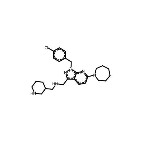 Clc1ccc(Cn2nc(CNCC3CCCNC3)c3ccc(N4CCCCCC4)nc32)cc1